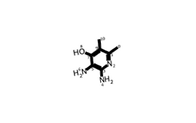 Cc1nc(N)c(N)c(O)c1C